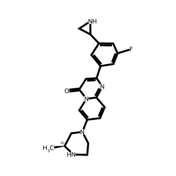 C[C@H]1CN(c2ccc3nc(-c4cc(F)cc(C5CN5)c4)cc(=O)n3c2)CCN1